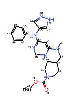 CN(CC1CCN(C(=O)OC(C)(C)C)CC1)c1cc(N(c2ccccc2)c2cn[nH]c2)ncn1